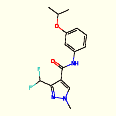 CC(C)Oc1cccc(NC(=O)c2cn(C)nc2C(F)F)c1